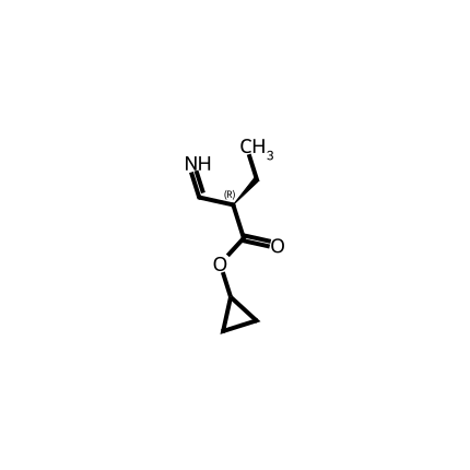 CC[C@H](C=N)C(=O)OC1CC1